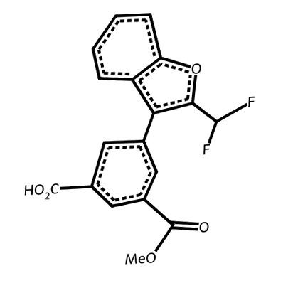 COC(=O)c1cc(C(=O)O)cc(-c2c(C(F)F)oc3ccccc23)c1